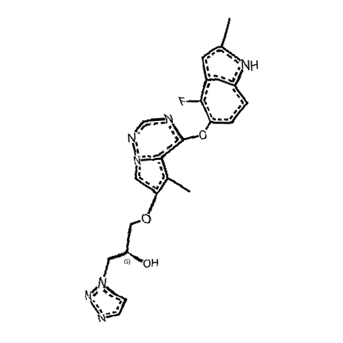 Cc1cc2c(F)c(Oc3ncnn4cc(OC[C@@H](O)Cn5ccnn5)c(C)c34)ccc2[nH]1